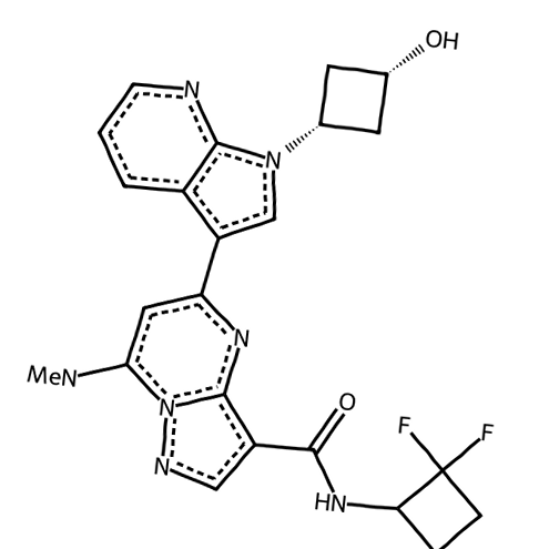 CNc1cc(-c2cn([C@H]3C[C@@H](O)C3)c3ncccc23)nc2c(C(=O)NC3CCC3(F)F)cnn12